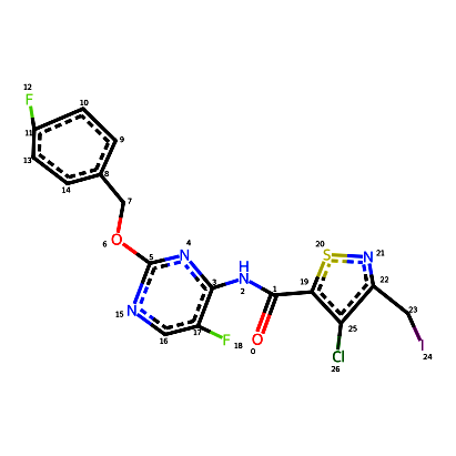 O=C(Nc1nc(OCc2ccc(F)cc2)ncc1F)c1snc(CI)c1Cl